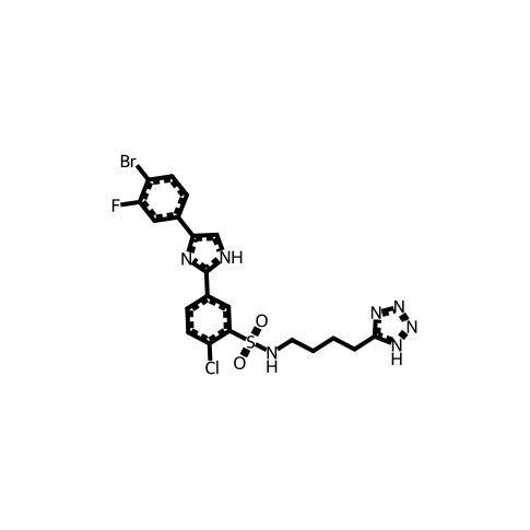 O=S(=O)(NCCCCc1nnn[nH]1)c1cc(-c2nc(-c3ccc(Br)c(F)c3)c[nH]2)ccc1Cl